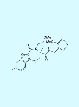 COCCN1C(=O)c2oc3cc(C)ccc3c2OCC1(C)C(=O)NCc1ccccc1OC